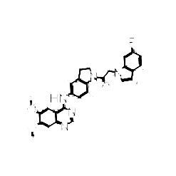 COc1cc2ncnc(Nc3ccc4c(c3)CCN4C(=O)Cn3ccc4ccc(F)cc43)c2cc1OC